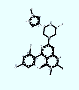 Cc1nc2cc(N3C[C@@H](C)O[C@@H](c4cnn(C)c4)C3)nc(-c3ccc(Cl)cc3F)c2c(=O)n1C